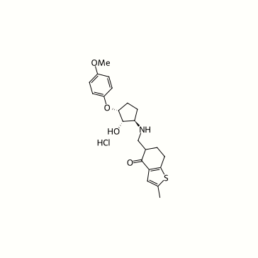 COc1ccc(O[C@@H]2CC[C@@H](NCC3CCc4sc(C)cc4C3=O)[C@@H]2O)cc1.Cl